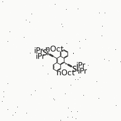 CCCCCCCC[Si](C#Cc1c2ccccc2c(C#C[Si](CCCCCCCC)(C(C)C)C(C)C)c2ccccc12)(C(C)C)C(C)C